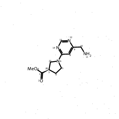 COC(=O)[C@@H]1CCN(c2cc(CN)ncn2)C1